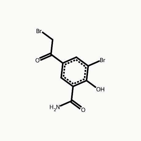 NC(=O)c1cc(C(=O)CBr)cc(Br)c1O